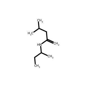 C=C(CC(C)C)NC(C)CC